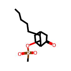 CCCCCC1C2CCC(C(=O)C2)C1OS(C)(=O)=O